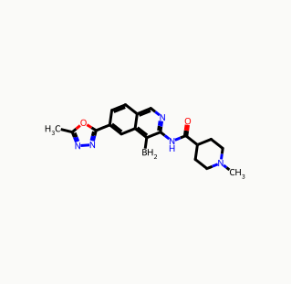 Bc1c(NC(=O)C2CCN(C)CC2)ncc2ccc(-c3nnc(C)o3)cc12